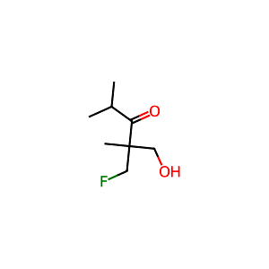 CC(C)C(=O)C(C)(CO)CF